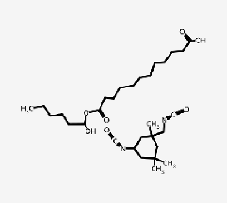 CC1(C)CC(N=C=O)CC(C)(CN=C=O)C1.CCCCCC(O)OC(=O)CCCCCCCCCCC(=O)O